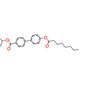 CCCCCCCC(=O)Oc1ccc(-c2ccc(C(=O)OC(C)CCC)cc2)cc1